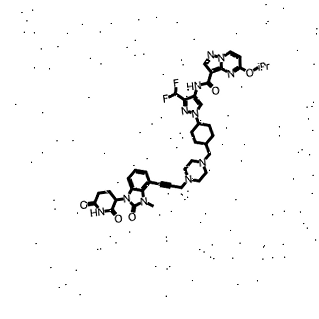 CC(C)Oc1ccn2ncc(C(=O)Nc3cn(C4CCC(CN5CCN(CC#Cc6cccc7c6n(C)c(=O)n7C6CCC(=O)NC6=O)CC5)CC4)nc3C(F)F)c2n1